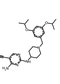 CC(C)Oc1cc(CN2CCC(Nc3ncc(C#N)c(N)n3)CC2)cc(OC(C)C)c1